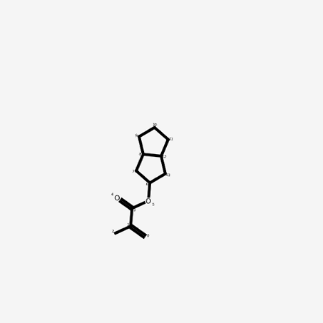 C=C(C)C(=O)OC1CC2CCCC2C1